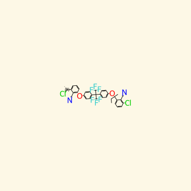 CCC(C)(Oc1ccc(C(c2ccc(Oc3cccc([C@@H](C)Cl)c3C#N)cc2)(C(F)(F)F)C(F)(F)F)cc1)c1cccc(Cl)c1C#N